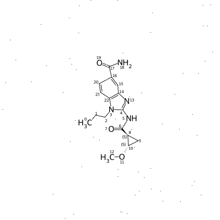 CCCn1c(NC(=O)[C@H]2C[C@@H]2OC)nc2cc(C(N)=O)ccc21